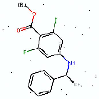 CC(C)(C)OC(=O)c1c(F)cc(N[C@H](c2ccccc2)C(F)(F)F)cc1F